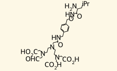 CC(C)C[C@@H](N)C(=O)NOCc1ccc(CNC(=O)CN(CCN(CC=O)CC(=O)O)CCN(CC(=O)O)CC(=O)O)cc1